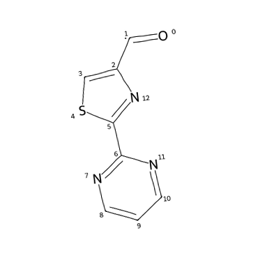 O=[C]c1csc(-c2ncccn2)n1